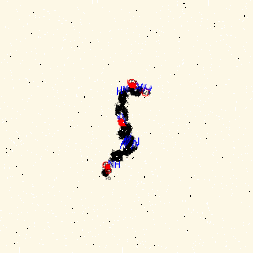 Cc1cc(-c2ccnc3cn(-c4ccc(CN5CCC(c6ccc(NC7CCC(=O)NC7=O)cc6)CC5)cc4)nc23)ccc1CNC(=O)OC(C)(C)C